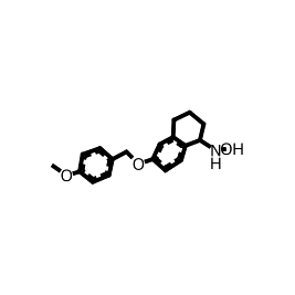 COc1ccc(COc2ccc3c(c2)CCCC3NO)cc1